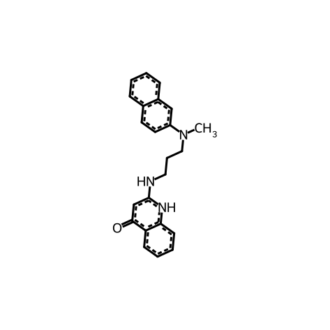 CN(CCCNc1cc(=O)c2ccccc2[nH]1)c1ccc2ccccc2c1